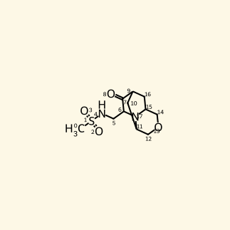 CS(=O)(=O)NCC1C(=O)C2CC3COCC(C2)N31